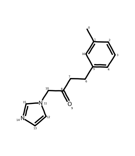 Cc1cccc(CCC(=O)Cn2ccnc2)c1